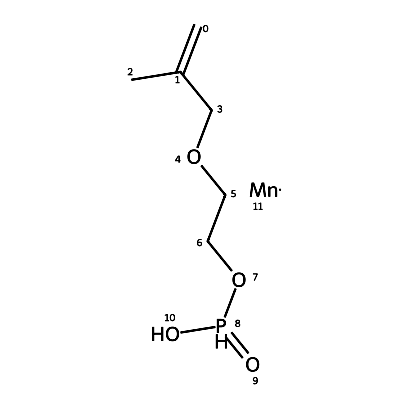 C=C(C)COCCO[PH](=O)O.[Mn]